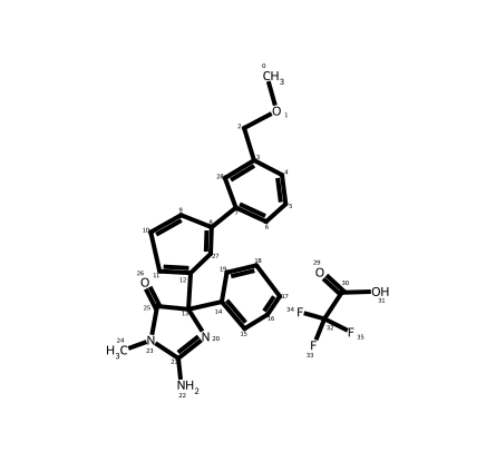 COCc1cccc(-c2cccc(C3(c4ccccc4)N=C(N)N(C)C3=O)c2)c1.O=C(O)C(F)(F)F